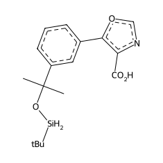 CC(C)(C)[SiH2]OC(C)(C)c1cccc(-c2ocnc2C(=O)O)c1